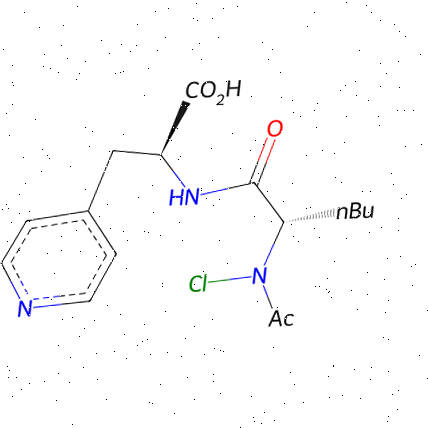 CCCC[C@@H](C(=O)N[C@@H](Cc1ccncc1)C(=O)O)N(Cl)C(C)=O